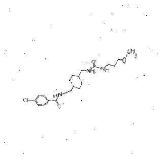 COCCCNC(=O)NCC1CCC(CNC(=O)c2ccc(Cl)cc2)CC1